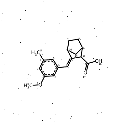 COc1cc(C)cc(/C=C2\C3CCC(C3)C2C(=O)O)c1